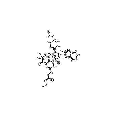 CCOC(=O)CCc1cc2c(c(S(=O)(=O)N[C@@H](Cc3nc4ccccc4s3)C(=O)N3CCC(CCF)CC3)c1)NCC(C)(C)C2=O